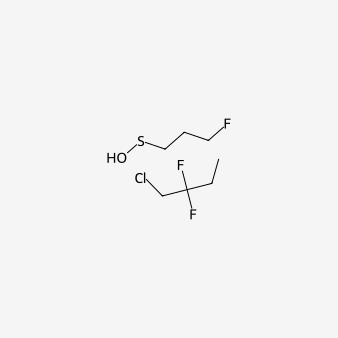 CCC(F)(F)CCl.OSCCCF